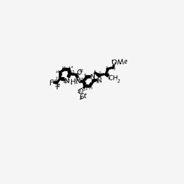 C=C(CCOC)c1cn2cc(NC(=O)c3cccc(C(F)F)n3)c(OCC)cc2n1